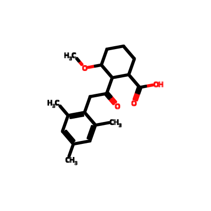 COC1CCCC(C(=O)O)C1C(=O)Cc1c(C)cc(C)cc1C